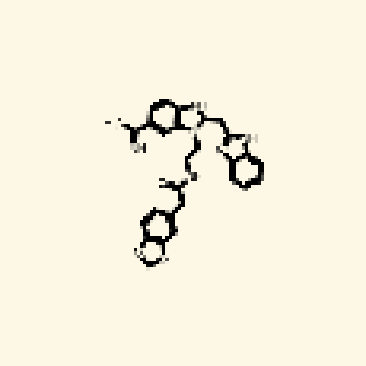 N=C(N)c1ccc2c(c1)N(CCNC(=O)Cc1ccc3c(c1)OCO3)C(Cc1nc3ccccc3[nH]1)N2